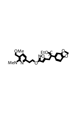 CCOC(=O)CC(Cc1cc(OCCc2ccc(COC)c(NC)n2)no1)c1ccc2c(c1)OCO2